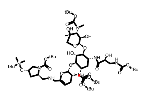 CN(C(=O)OC(C)(C)C)[C@@H]1[C@@H](O)[C@@H](O[C@@H]2[C@@H](O)[C@H](O[C@H]3OC(CNC[C@H]4C[C@H](O[Si](C)(C)C(C)(C)C)CN4C(=O)OC(C)(C)C)=CC[C@H]3NC(=O)OC(C)(C)C)[C@@H](NC(=O)OC(C)(C)C)C[C@H]2NC(=O)[C@@H](O)CNC(=O)OC(C)(C)C)OC[C@]1(C)O